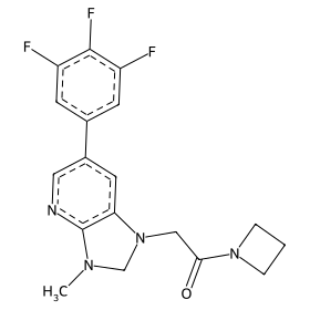 CN1CN(CC(=O)N2CCC2)c2cc(-c3cc(F)c(F)c(F)c3)cnc21